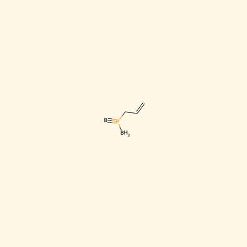 B#P(B)CC=C